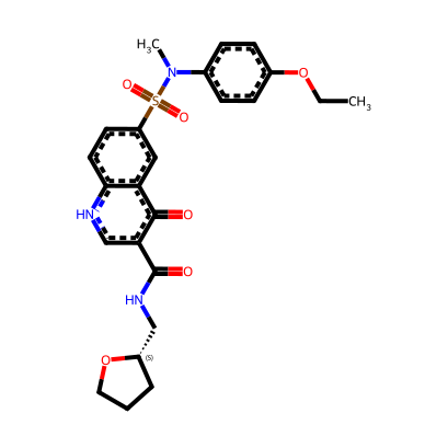 CCOc1ccc(N(C)S(=O)(=O)c2ccc3[nH]cc(C(=O)NC[C@@H]4CCCO4)c(=O)c3c2)cc1